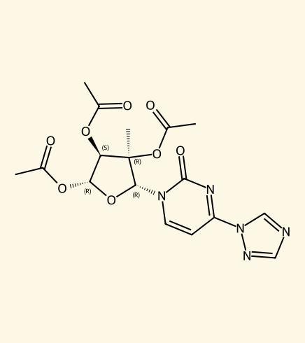 CC(=O)O[C@H]1O[C@@H](n2ccc(-n3cncn3)nc2=O)[C@](C)(OC(C)=O)[C@@H]1OC(C)=O